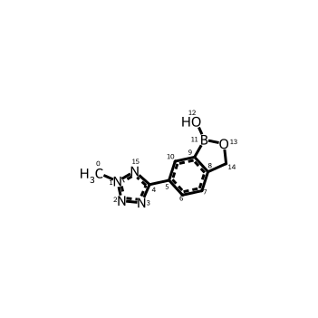 Cn1nnc(-c2ccc3c(c2)B(O)OC3)n1